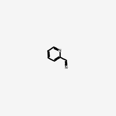 [N]=Cc1ccccn1